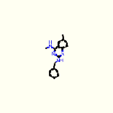 CNc1nc(NCc2ccccc2)nc2ccc(C)cc12